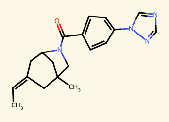 C/C=C1/CC2CC(C)(C1)CN2C(=O)c1ccc(-n2cncn2)cc1